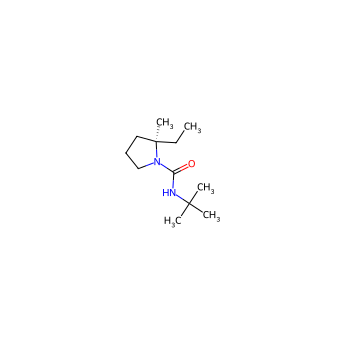 CC[C@]1(C)CCCN1C(=O)NC(C)(C)C